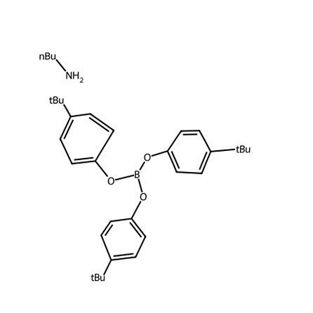 CC(C)(C)c1ccc(OB(Oc2ccc(C(C)(C)C)cc2)Oc2ccc(C(C)(C)C)cc2)cc1.CCCCN